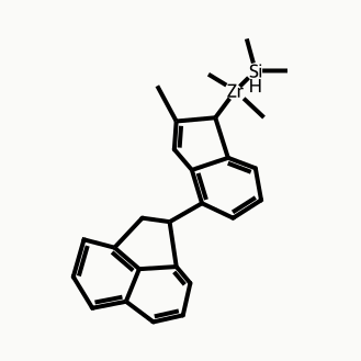 CC1=Cc2c(C3Cc4cccc5cccc3c45)cccc2[CH]1[Zr]([CH3])([CH3])[SiH](C)C